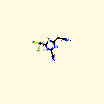 N#CCc1nc(C#N)nc(C(F)(F)F)n1